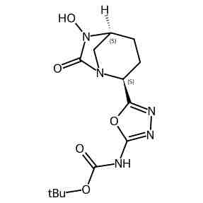 CC(C)(C)OC(=O)Nc1nnc([C@@H]2CC[C@H]3CN2C(=O)N3O)o1